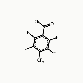 O=C(Cl)c1c(F)c(F)c(C(F)(F)F)c(F)c1F